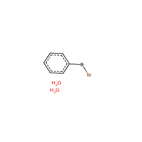 Br[B]c1ccccc1.O.O